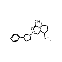 CC(=O)N1CCCC(N)C1COC1CCC(c2ccccc2)C1